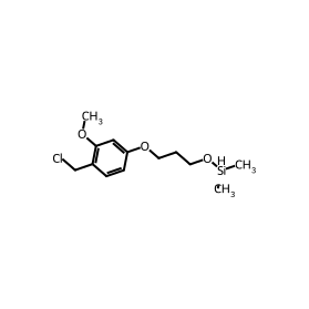 COc1cc(OCCCO[SiH](C)C)ccc1CCl